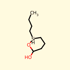 CCCC[SiH]1CCCC(O)O1